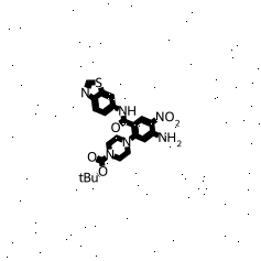 CC(C)(C)OC(=O)N1CCN(c2cc(N)c([N+](=O)[O-])cc2C(=O)Nc2ccc3ncsc3c2)CC1